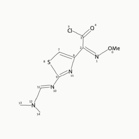 CO/N=C(\C(=O)Cl)c1csc(/N=C/N(C)C)n1